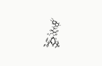 C[C@H]1[C@@H](c2cc(C(F)(F)F)cc(C(F)(F)F)c2)OC(=O)N1C(=O)NCc1cccc2nccnc12